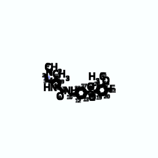 C=N/C=C\c1[nH]c(C(=O)NCc2ccc(S(=O)(=O)c3ccc(F)c(OC)c3)cc2)cc1C